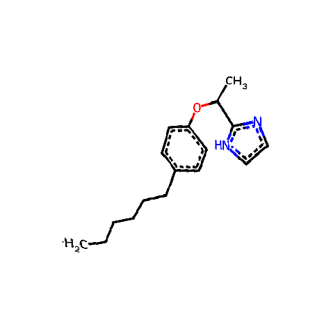 [CH2]CCCCCc1ccc(OC(C)c2ncc[nH]2)cc1